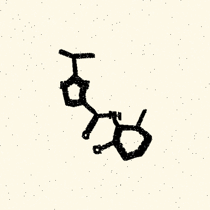 Cc1cccc(Cl)c1NC(=O)c1cnc(C(C)C)s1